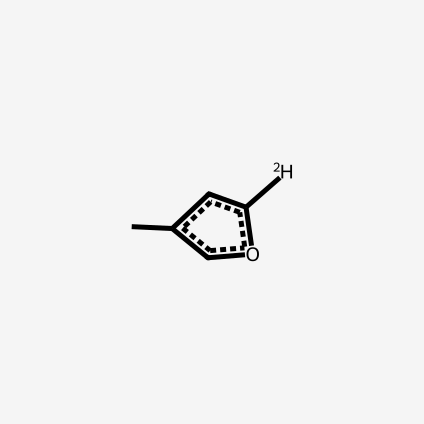 [2H]c1cc(C)co1